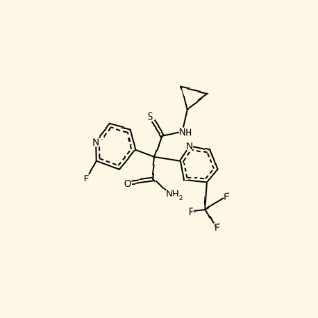 NC(=O)C(C(=S)NC1CC1)(c1ccnc(F)c1)c1cc(C(F)(F)F)ccn1